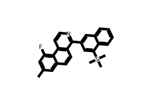 Cc1cc(F)c2c(ccc3c(-c4cc([Si](C)(C)C)c5ccccc5c4)nccc32)c1